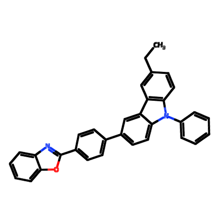 CCc1ccc2c(c1)c1cc(-c3ccc(-c4nc5ccccc5o4)cc3)ccc1n2-c1ccccc1